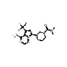 CN(C)C(=O)C1CCCN(c2cc(C(F)(F)F)c3c(N)ncnn23)C1